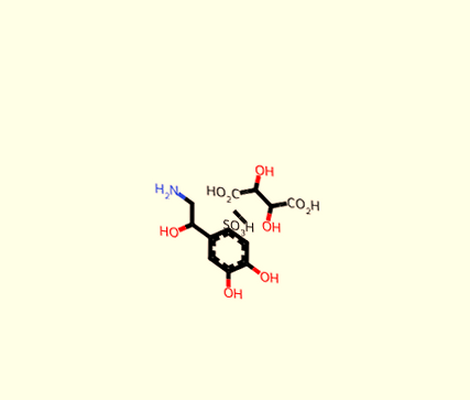 CS(=O)(=O)O.NCC(O)c1ccc(O)c(O)c1.O=C(O)C(O)C(O)C(=O)O